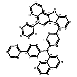 c1ccc(-c2ccc(N(c3ccc(-c4cccc5oc6c7ccccc7c(-c7ccccc7)cc6c45)cc3)c3cccc4ccccc34)cc2)cc1